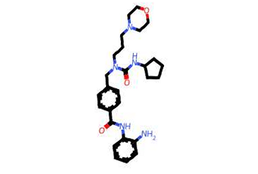 Nc1ccccc1NC(=O)c1ccc(CN(CCCN2CCOCC2)C(=O)NC2CCCC2)cc1